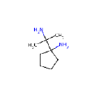 CC(C)(N)C1(N)CCCC1